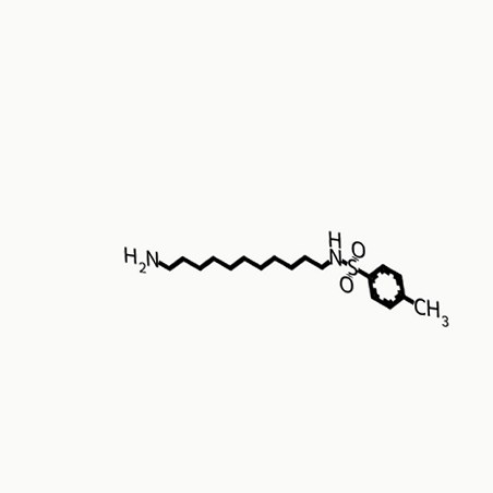 Cc1ccc(S(=O)(=O)NCCCCCCCCCCCN)cc1